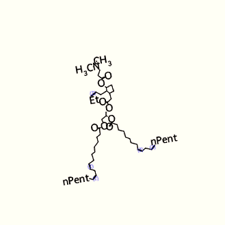 CC/C=C\CC1C(CC(=O)OCC(COC(=O)CCCCCCC/C=C\C/C=C\CCCCC)OC(=O)CCCCCCC/C=C\C/C=C\CCCCC)CCC1OC(=O)CCN(C)C